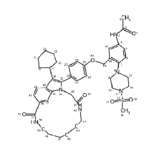 CC(=O)Nc1ccc(N2CCN(S(C)(=O)=O)CC2)c(COc2ccc(-c3c(C4CCCCC4)c4ccc5cc4n3CC(=O)NCCCCCCNC5=O)cc2)c1